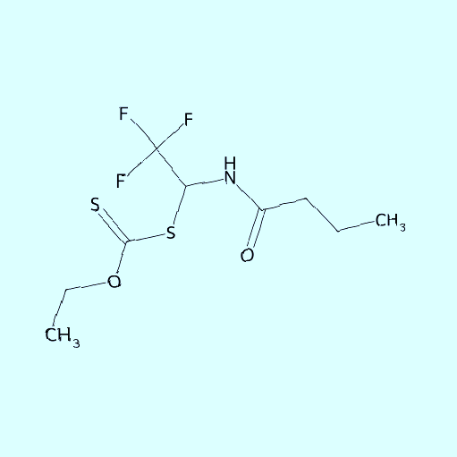 CCCC(=O)NC(SC(=S)OCC)C(F)(F)F